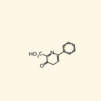 O=C(O)C1=NC(c2ccccc2)=CCC1=O